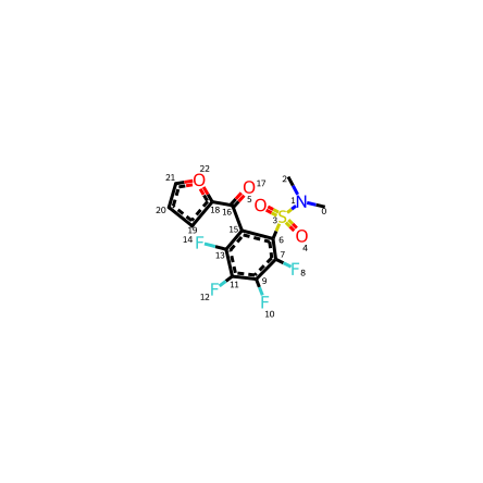 CN(C)S(=O)(=O)c1c(F)c(F)c(F)c(F)c1C(=O)c1ccco1